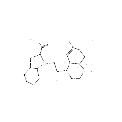 COC(=O)C1CC2CCCCC2N1C[C@@H](C)[C@@H]1CC[C@@H](C)[C@]2(O)[C][C@@H](OC(C)=O)C(C)=C[C@H]12